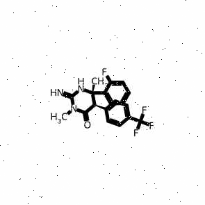 CN1C(=N)N[C@](C)(c2ccccc2F)[C@@H](c2ccc(C(F)(F)F)cc2)C1=O